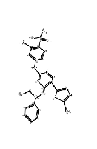 Cc1nnc(-c2cnc(Nc3ccc(S(C)(=O)=O)c(C)c3)nc2N[C@H](CO)c2ccccc2)s1